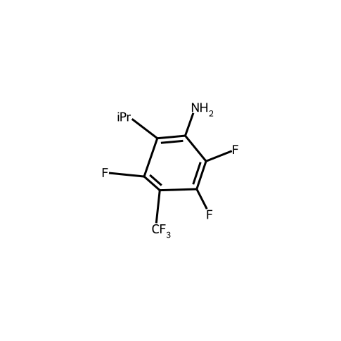 CC(C)c1c(N)c(F)c(F)c(C(F)(F)F)c1F